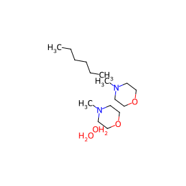 CCCCCC.CN1CCOCC1.CN1CCOCC1.O.O